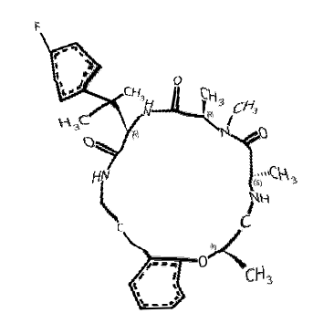 C[C@@H]1CN[C@@H](C)C(=O)N(C)[C@H](C)C(=O)N[C@H](C(C)(C)c2ccc(F)cc2)C(=O)NCCCc2ccccc2O1